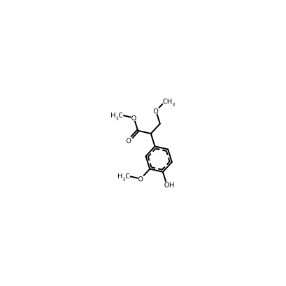 COCC(C(=O)OC)c1ccc(O)c(OC)c1